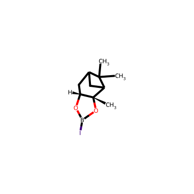 CC1(C)C2CC1[C@]1(C)OB(I)O[C@@H]1C2